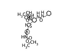 CC(C)OC(=O)NC12CCC(c3ncc(-c4ccc(NC(=O)NCc5ccccc5)cc4[S+]([O-])NC(C)(C)C)s3)(CC1)CC2